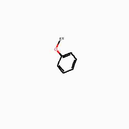 CCOc1[c]c[c]cc1